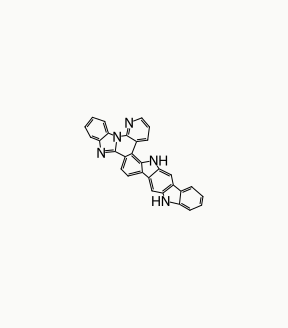 c1ccc2c(c1)nc1c3ccc4c5cc6[nH]c7ccccc7c6cc5[nH]c4c3c3cccnc3n21